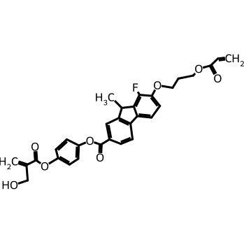 C=CC(=O)OCCCOc1ccc2c(c1F)C(C)c1cc(C(=O)Oc3ccc(OC(=O)C(=C)CO)cc3)ccc1-2